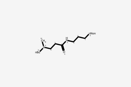 CCCCCCCCCCCCNC(=O)CCN(C)CCCC